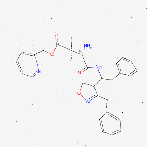 CC(C)(C(=O)OCc1ccccn1)[C@H](N)C(=O)NC(Cc1ccccc1)C1CON=C1Cc1ccccc1